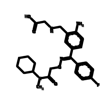 CN(C(=O)CO/N=C(\c1ccc(F)cc1)c1ccc(N)c(CNCC(=O)O)c1)C1CCCCC1